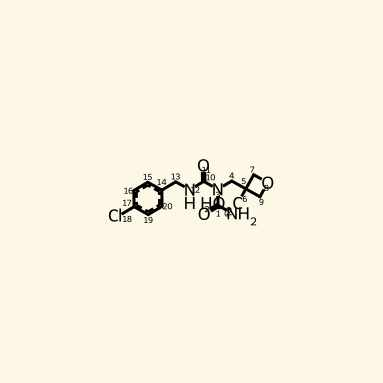 NC(=O)N(CC1(C(=O)O)COC1)C(=O)NCc1ccc(Cl)cc1